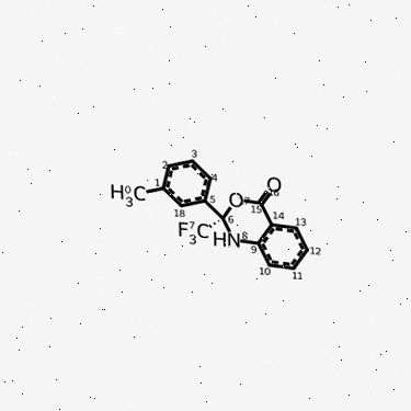 Cc1cccc([C@]2(C(F)(F)F)Nc3ccccc3C(=O)O2)c1